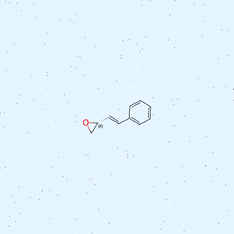 C(=C[C@@H]1CO1)c1ccccc1